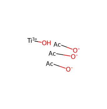 CC(=O)[O-].CC(=O)[O-].CC(=O)[O-].[OH][Ti+3]